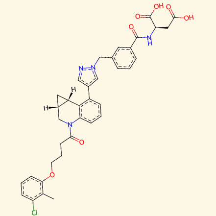 Cc1c(Cl)cccc1OCCCC(=O)N1C[C@@H]2C[C@@H]2c2c(-c3cnn(Cc4cccc(C(=O)N[C@H](CC(=O)O)C(=O)O)c4)c3)cccc21